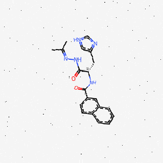 CC(C)=NNC(=O)[C@H](Cc1c[nH]cn1)NC(=O)c1ccc2ccccc2c1